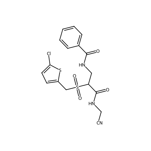 N#CCNC(=O)C(CNC(=O)c1ccccc1)S(=O)(=O)Cc1ccc(Cl)s1